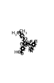 CN(C)C1CCN(C(=O)CC(NC(=O)C=Cc2c(-n3cnnn3)ccc(Cl)c2F)C(=O)Nc2ccc(C(=O)O)cc2)CC1